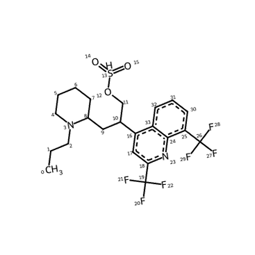 CCCN1CCCCC1CC(CO[SH](=O)=O)c1cc(C(F)(F)F)nc2c(C(F)(F)F)cccc12